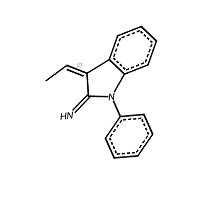 C/C=C1\C(=N)N(c2ccccc2)c2ccccc21